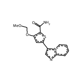 COCOc1cc(-c2cnc3ccccn23)sc1C(N)=O